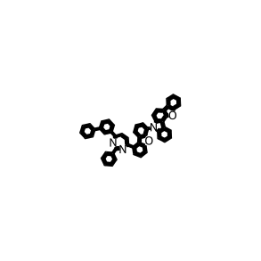 C1=CC(c2cccc(-c3ccccc3)c2)=NC(c2ccccc2)=NC=1c1cccc2oc3c(-n4c5ccccc5c5c6oc7ccccc7c6ccc54)cccc3c12